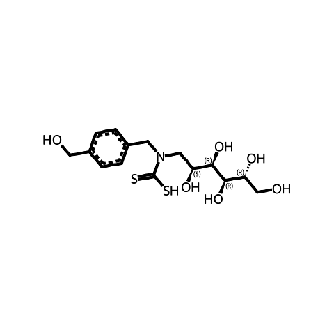 OCc1ccc(CN(C[C@H](O)[C@@H](O)[C@H](O)[C@H](O)CO)C(=S)S)cc1